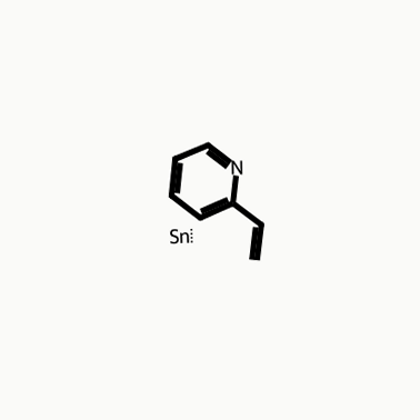 C=Cc1ccccn1.[Sn]